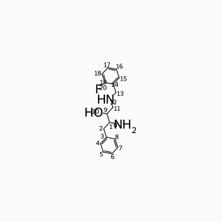 NC(Cc1ccccc1)C(O)CNCc1ccccc1F